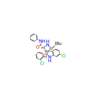 CC(C)(C)C[C@@H]1N[C@@H](C(=O)Nc2ccccc2)[C@@H](c2cccc(Cl)c2F)C12C(=O)Nc1cc(Cl)ccc12